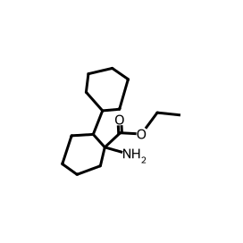 CCOC(=O)C1(N)CCCCC1C1CCCCC1